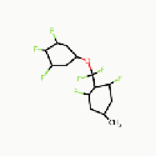 CC1CC(F)C(C(F)(F)OC2CC(F)C(F)C(F)C2)C(F)C1